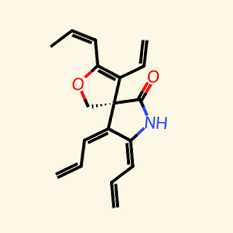 C=C/C=C1\C(=C/C=C)NC(=O)[C@@]12COC(/C=C\C)=C2C=C